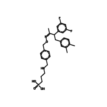 CC(=NOCc1ccc(CNCCCP(=O)(O)O)cc1)C(Cc1ccc(C)c(C)c1)c1cc(F)cc(F)c1